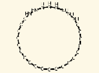 C1CCCCCCCCCCNNNNNNNNCCCCCCCCC1